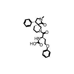 CN1C[C@@H](c2ccccc2)[C@@]2(CCCN(C(=O)[C@@H](CCOc3ccccc3)NC(=O)O)C2)C1=O